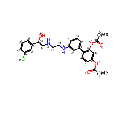 COC(=O)Oc1ccc(-c2cccc(NCCNC[C@H](O)c3cccc(Cl)c3)c2)c(OC(=O)OC)c1